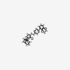 O=C1N(CCN2CCN(c3cccc4c3OCCO4)CC2)CCN1C12CC3CC(CC(C3)C1)C2